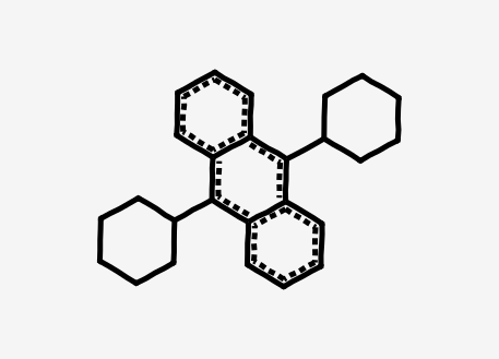 c1ccc2c(C3CCCCC3)c3ccccc3c(C3CCCCC3)c2c1